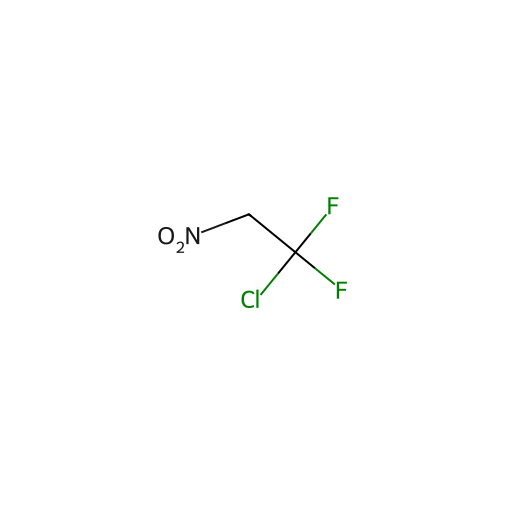 O=[N+]([O-])CC(F)(F)Cl